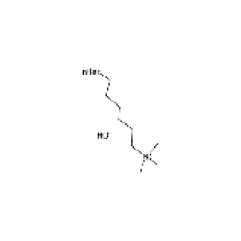 CCCCCCCCCCCC[N+](C)(C)C.[OH-]